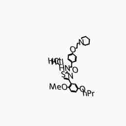 CCCOc1ccc(OC)c(-c2csc(NC(=O)c3ccc(OCCN4CCCCC4)cc3)n2)c1.Cl.Cl